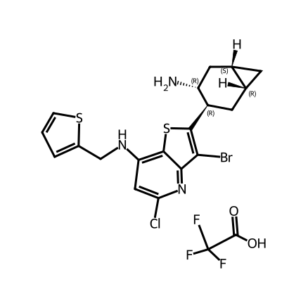 N[C@@H]1C[C@@H]2C[C@@H]2C[C@H]1c1sc2c(NCc3cccs3)cc(Cl)nc2c1Br.O=C(O)C(F)(F)F